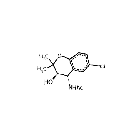 CC(=O)N[C@H]1c2cc(Cl)ccc2OC(C)(C)[C@@H]1O